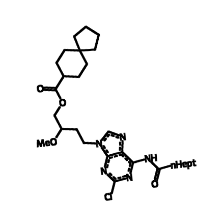 CCCCCCCC(=O)Nc1nc(Cl)nc2c1ncn2CCC(COC(=O)C1CCC2(CCCC2)CC1)OC